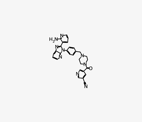 N#Cc1cncc(C(=O)N2CCN(Cc3ccc(-n4c(-c5cccnc5N)nc5cccnc54)cc3)CC2)c1